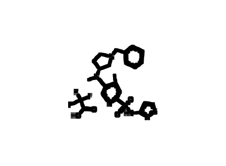 Cc1cc(S(=O)(=O)Nc2ccsn2)ncc1N(C)[C@H]1CCN(Cc2ccccc2)C1.O=C(O)C(F)(F)F